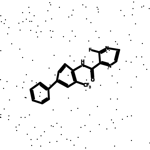 O=C(Nc1ccc(-c2ccccc2)cc1C(F)(F)F)c1nccnc1F